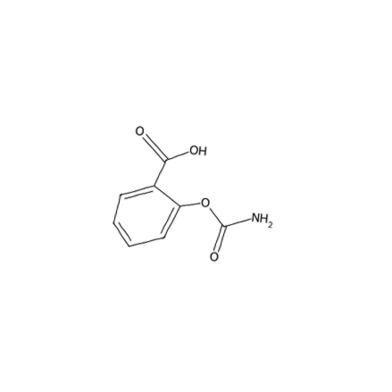 NC(=O)Oc1ccccc1C(=O)O